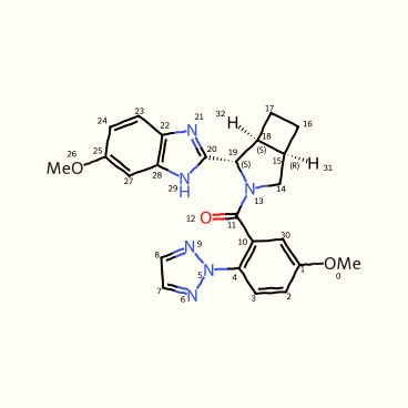 COc1ccc(-n2nccn2)c(C(=O)N2C[C@@H]3CC[C@@H]3[C@H]2c2nc3ccc(OC)cc3[nH]2)c1